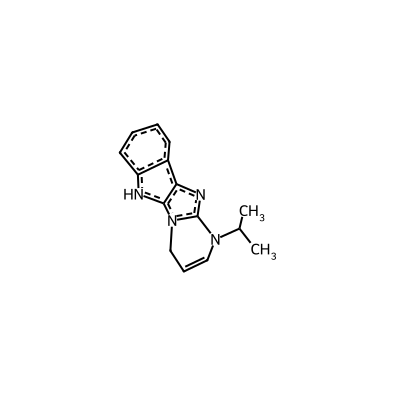 CC(C)N1C=CCn2c1nc1c3ccccc3[nH]c12